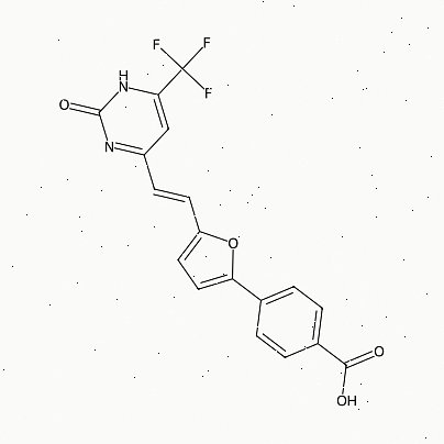 O=C(O)c1ccc(-c2ccc(/C=C/c3cc(C(F)(F)F)[nH]c(=O)n3)o2)cc1